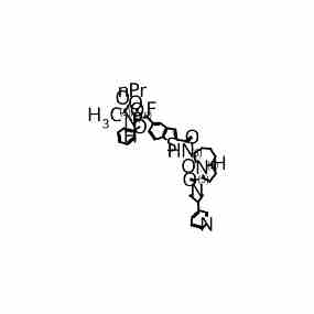 CCCOC(=O)[C@H](C)N[P@@](=O)(Oc1ccccc1)[C@H](F)c1ccc2sc(C(=O)N[C@H]3CCC[C@H]4CC[C@@H](C(=O)N5CC(c6cccnc6)C5)N4C3=O)cc2c1